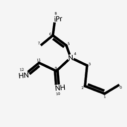 C/C=C\CN(/C=C(\C)C(C)C)C(=N)C=N